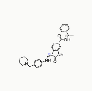 C[C@H](NC(=O)c1ccc2c(c1)NC(=O)/C2=C\Nc1ccc(CN2CCCCC2)cc1)c1ccccc1